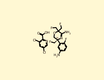 NC1=N[C@](CF)(c2cc(N)ccc2F)COC1(CF)CF.O=C(O)c1ncc(Cl)cc1Cl